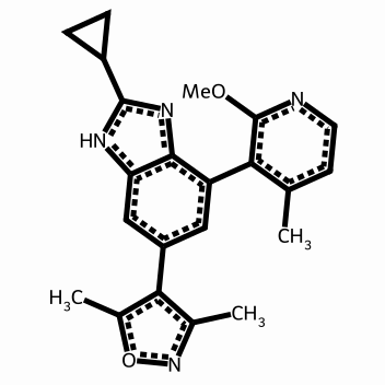 COc1nccc(C)c1-c1cc(-c2c(C)noc2C)cc2[nH]c(C3CC3)nc12